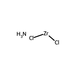 N.[Cl][Zr][Cl]